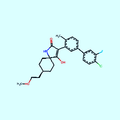 COCC[C@H]1CC[C@@]2(CC1)NC(=O)C(c1cc(-c3ccc(Cl)c(F)c3)ccc1C)=C2O